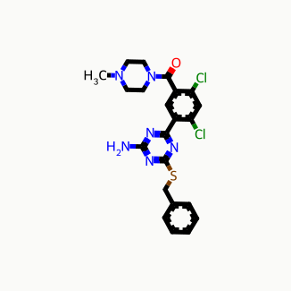 CN1CCN(C(=O)c2cc(-c3nc(N)nc(SCc4ccccc4)n3)c(Cl)cc2Cl)CC1